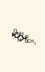 COC(=O)c1cnc2c(c1)NC(=O)C1(CC1)C2